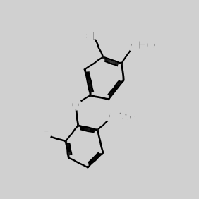 COc1cccc(F)c1Oc1ccc(C=O)c(Cl)c1